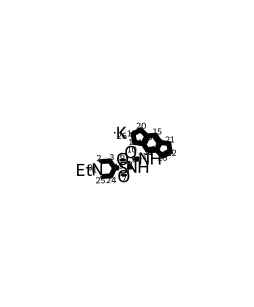 CCN1CCC(S(=O)(=O)NC(=O)Nc2c3c(cc4c2CCC4)CC=C3)CC1.[K]